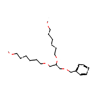 COCCCCCCOCC(COCc1ccccc1)OCCCCCCOC